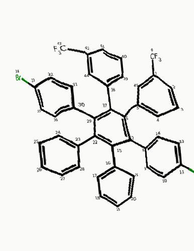 FC(F)(F)c1cccc(-c2c(-c3ccc(Br)cc3)c(-c3ccccc3)c(-c3ccccc3)c(-c3ccc(Br)cc3)c2-c2cccc(C(F)(F)F)c2)c1